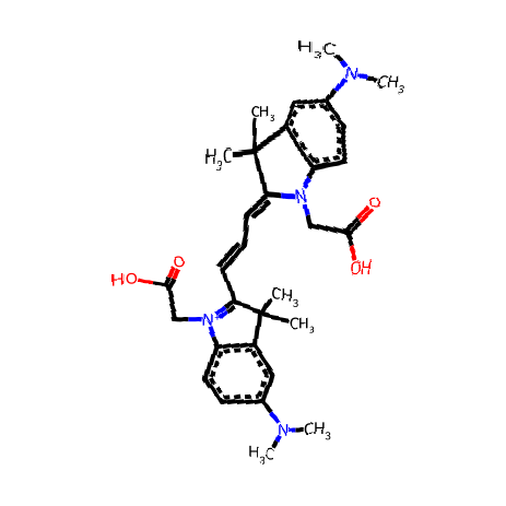 CN(C)c1ccc2c(c1)C(C)(C)C(=CC=CC1=[N+](CC(=O)O)c3ccc(N(C)C)cc3C1(C)C)N2CC(=O)O